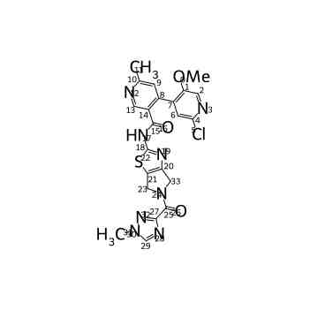 COc1cnc(Cl)cc1-c1cc(C)ncc1C(=O)Nc1nc2c(s1)CN(C(=O)c1ncn(C)n1)C2